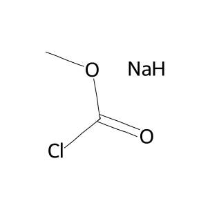 COC(=O)Cl.[NaH]